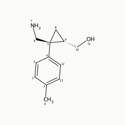 Cc1ccc([C@]2(CN)C[C@@H]2CO)cc1